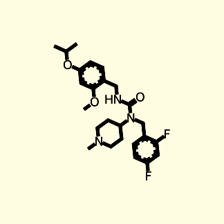 COc1cc(OC(C)C)ccc1CNC(=O)N(Cc1ccc(F)cc1F)C1CCN(C)CC1